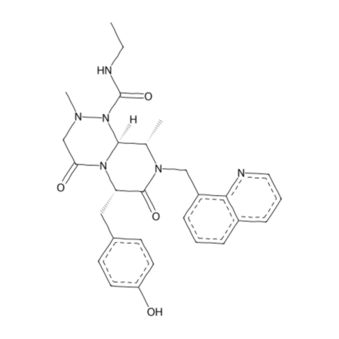 CCNC(=O)N1[C@H]2[C@H](C)N(Cc3cccc4cccnc34)C(=O)[C@H](Cc3ccc(O)cc3)N2C(=O)CN1C